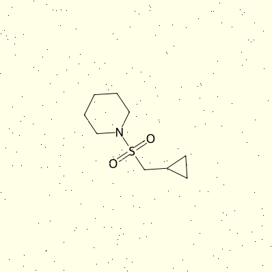 O=S(=O)(CC1CC1)N1CCCCC1